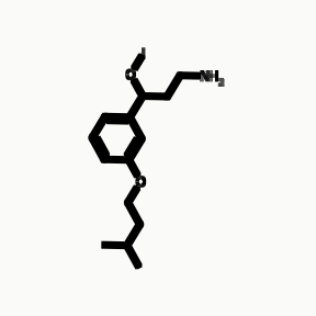 CC(C)CCOc1cccc(C(CCN)OI)c1